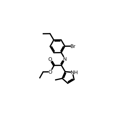 CCOC(=O)C(=Nc1ccc(CC)cc1Br)c1[nH]ccc1C